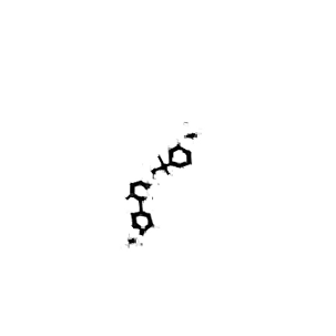 Cc1ccc(NC(=O)C(C)(C)c2ccc3c(c2)OC(F)(F)O3)nc1-c1ccc2[nH]c(=O)oc2c1